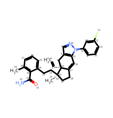 C=C[C@]12Cc3cnn(-c4cccc(F)c4)c3C=C1CC[C@@]2(C)CCc1cccc(C)c1C(N)=O